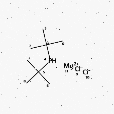 CC(C)(C)PC(C)(C)C.[Cl-].[Cl-].[Mg+2]